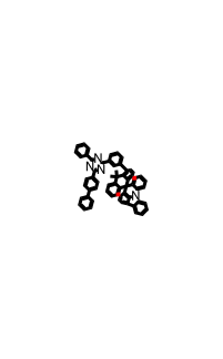 CC1(C)c2ccccc2C2(c3ccccc3-n3c4ccccc4c4cccc2c43)c2cccc(-c3cccc(-c4nc(-c5ccccc5)nc(-c5ccc(-c6ccccc6)cc5)n4)c3)c21